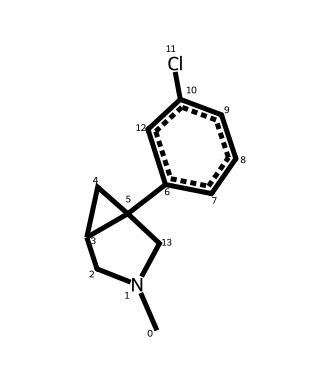 CN1CC2CC2(c2cccc(Cl)c2)C1